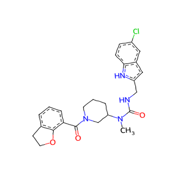 CN(C(=O)NCc1cc2cc(Cl)ccc2[nH]1)C1CCCN(C(=O)c2cccc3c2OCC3)C1